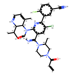 C=CC(=O)N1CCN(/C(=N/C)c2cc(Cl)c(-c3cc(C#N)ccc3F)nc2N(C=O)C2C(C)=CC=NC2C(C)C)C(C)C1